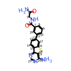 NC(=O)CNC(=O)c1cccc(-c2ccc3c(c2)sc2c(N)ncnc23)c1